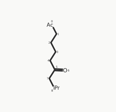 CC(=O)CCCCC(=O)CC(C)C